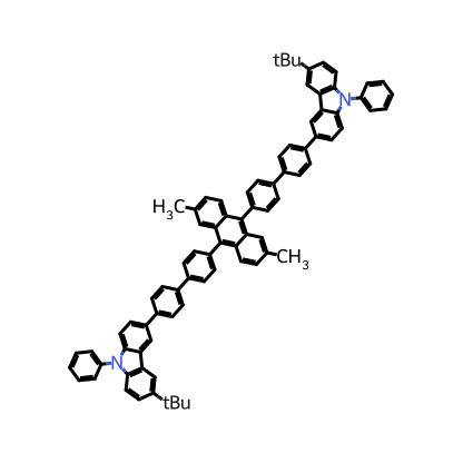 Cc1ccc2c(-c3ccc(-c4ccc(-c5ccc6c(c5)c5cc(C(C)(C)C)ccc5n6-c5ccccc5)cc4)cc3)c3cc(C)ccc3c(-c3ccc(-c4ccc(-c5ccc6c(c5)c5cc(C(C)(C)C)ccc5n6-c5ccccc5)cc4)cc3)c2c1